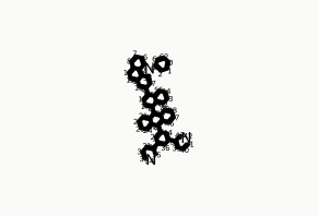 c1ccc(-n2c3cccc4ccc5cc(-c6ccc(-c7c8ccccc8c(-c8cc(-c9cccnc9)cc(-c9cccnc9)c8)c8ccccc78)c7ccccc67)cc2c5c43)cc1